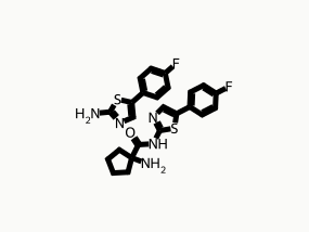 NC1(C(=O)Nc2ncc(-c3ccc(F)cc3)s2)CCCC1.Nc1ncc(-c2ccc(F)cc2)s1